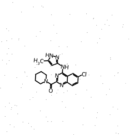 Cc1cc(Nc2nc(C(=O)N3CCCCC3)nc3ccc(Cl)cc23)n[nH]1